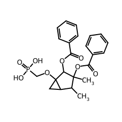 CC1C2CC2(OCP(=O)(O)O)C(OC(=O)c2ccccc2)C1(C)OC(=O)c1ccccc1